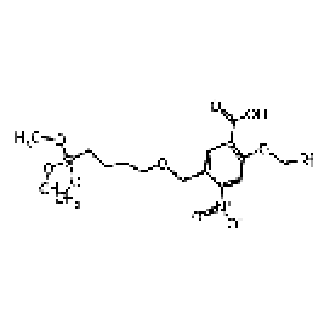 CO[Si](CCCCOCc1cc(C(=O)O)c(O[CH2][Rf])cc1[N+](=O)[O-])(OC)OC